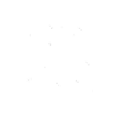 C[C@H]1C(F)C[C@@H](C(=O)NCc2ccnc(-c3cnc(C(F)(F)F)nc3)c2)N1[S+]([O-])c1ccc(F)cn1